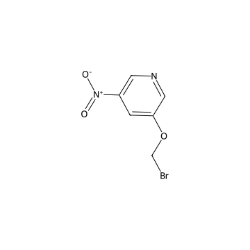 O=[N+]([O-])c1cncc(OCBr)c1